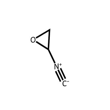 [C-]#[N+]C1CO1